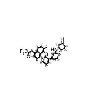 Cc1ccc2c(C[C@@H](O)C(F)(F)F)cccc2c1Oc1ncccc1-c1ccnc(N[C@H]2CCCNC2)n1